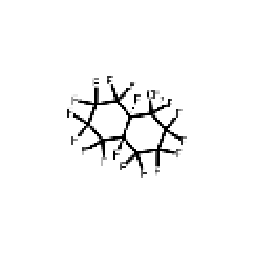 FC(F)(F)C1(F)C(F)(F)C(F)(F)C(F)(F)[C@]2(F)C(F)(F)C(F)(F)C(F)(F)C(F)(F)[C@@]12F